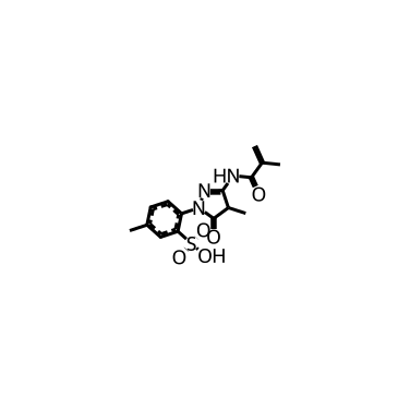 C=C(C)C(=O)NC1=NN(c2ccc(C)cc2S(=O)(=O)O)C(=O)C1C